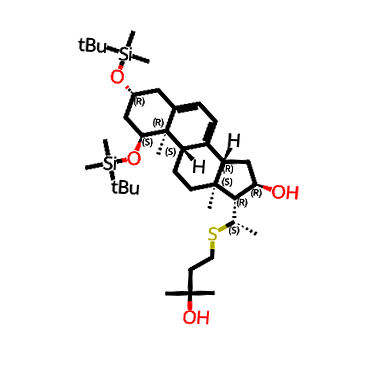 C[C@H](SCCC(C)(C)O)[C@H]1[C@H](O)C[C@H]2C3=CC=C4C[C@@H](O[Si](C)(C)C(C)(C)C)C[C@H](O[Si](C)(C)C(C)(C)C)[C@]4(C)[C@H]3CC[C@]12C